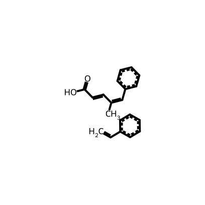 C=Cc1ccccc1.CC(C=CC(=O)O)=Cc1ccccc1